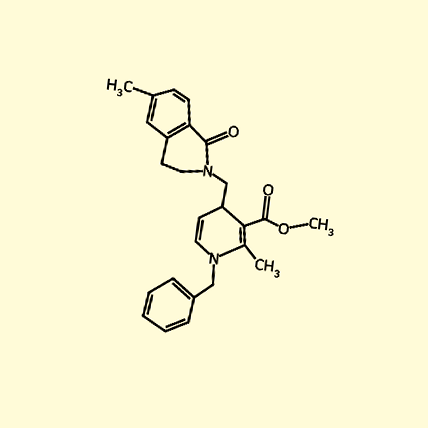 COC(=O)C1=C(C)N(Cc2ccccc2)C=CC1CN1CCc2cc(C)ccc2C1=O